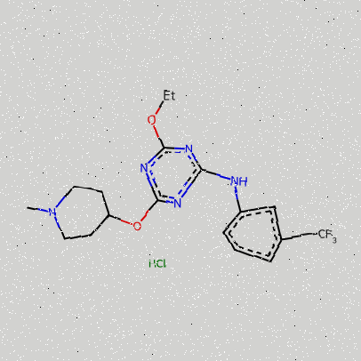 CCOc1nc(Nc2cccc(C(F)(F)F)c2)nc(OC2CCN(C)CC2)n1.Cl